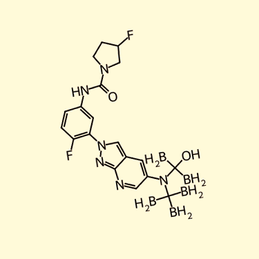 BC(B)(B)N(c1cnc2nn(-c3cc(NC(=O)N4CCC(F)C4)ccc3F)cc2c1)C(B)(B)O